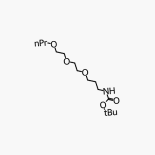 CCCOCCOCCOCCCNC(=O)OC(C)(C)C